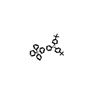 CC(C)(C)c1ccc([S+](c2ccccc2)c2ccc(C(C)(C)C)cc2)cc1.c1ccc([B-](c2ccccc2)(c2ccccc2)c2ccccc2)cc1